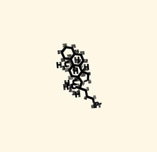 [2H][C@@](C)(CCCC(C)C)[C@H]1CC[C@H]2[C@@H]3CCC4CCCC[C@]4(C)[C@H]3CC[C@@]21C